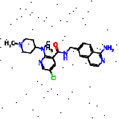 CN1CCC(N(C)c2ncc(Cl)cc2C(=O)NCc2ccc3c(N)nccc3c2)CC1